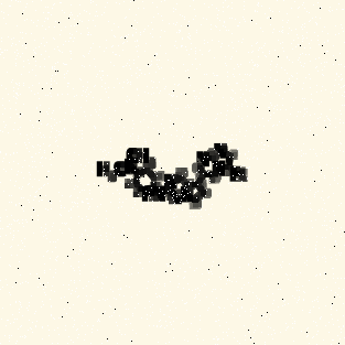 CCc1cnc2ncc(-c3ccn4nc(N[C@H]5CC[C@H](N(C)C)CC5)ncc34)cn12